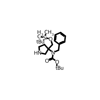 CC(C)(C)OC(=O)N(Cc1ccccc1)C1(CO[Si](C)(C)C(C)(C)C)CCNC1